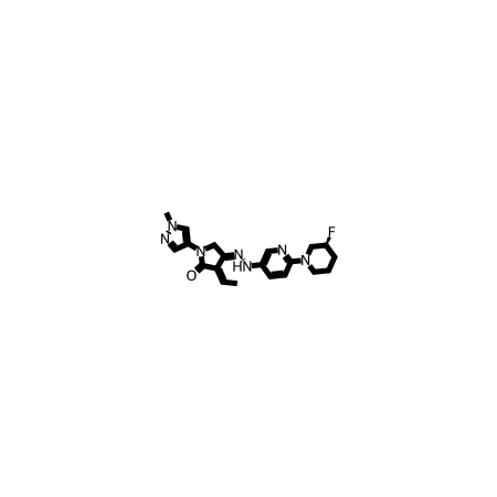 C/C=C1/C(=O)N(c2cnn(C)c2)C/C1=N/Nc1ccc(N2CCC[C@H](F)C2)nc1